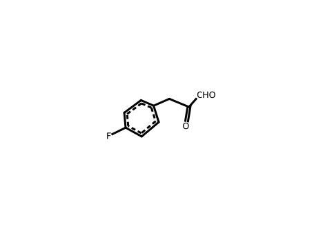 O=CC(=O)Cc1ccc(F)cc1